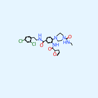 CCNC(=O)N1CCCN(c2ccc(C(=O)NCCc3ccc(Cl)cc3Cl)cc2NC(=O)C2CC=CO2)CC1